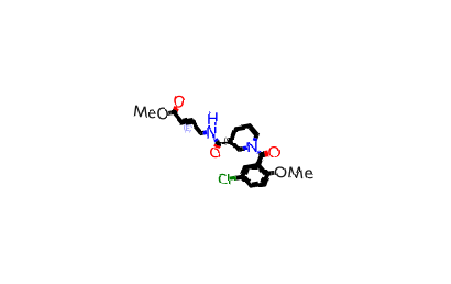 COC(=O)/C=C/CNC(=O)[C@H]1CCCN(C(=O)c2cc(Cl)ccc2OC)C1